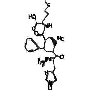 CSCCC(NC(=O)c1ccc(C(=O)[C@@H](N)Cc2c[nH]cn2)cc1-c1ccccc1)C(=O)O.Cl